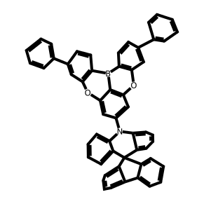 c1ccc(-c2ccc3c(c2)Oc2cc(N4c5ccccc5C5(c6ccccc6-c6ccccc65)c5ccccc54)cc4c2B3c2ccc(-c3ccccc3)cc2O4)cc1